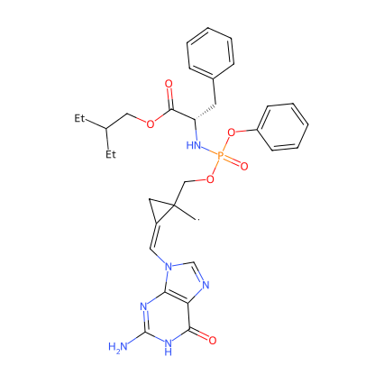 [CH2]C1(COP(=O)(N[C@@H](Cc2ccccc2)C(=O)OCC(CC)CC)Oc2ccccc2)C/C1=C/n1cnc2c(=O)[nH]c(N)nc21